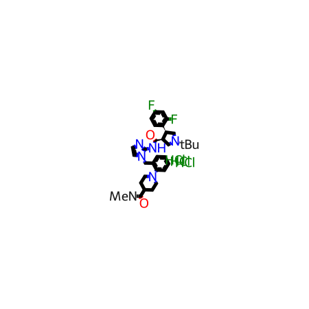 CNC(=O)C1CCN(c2ccccc2Cn2ccnc2NC(=O)[C@@H]2CN(C(C)(C)C)C[C@H]2c2ccc(F)cc2F)CC1.Cl.Cl.Cl